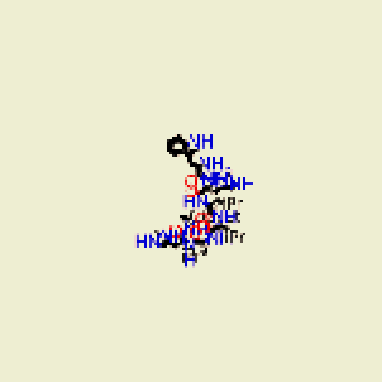 CCOC(=O)[C@H](C)NC(=O)[C@H](CC1=CNCN1)NC(=O)[C@H](CC(C)C)NC(=O)[C@H](CC(C)C)NC(=O)[C@H](CC(C)C)NC(=O)[C@H](CC1=CNCN1)NC(=O)[C@@H](N)Cc1c[nH]c2ccccc12